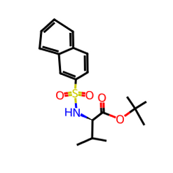 CC(C)[C@@H](NS(=O)(=O)c1ccc2ccccc2c1)C(=O)OC(C)(C)C